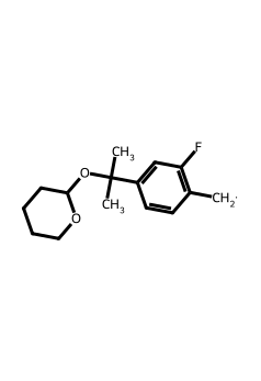 [CH2]c1ccc(C(C)(C)OC2CCCCO2)cc1F